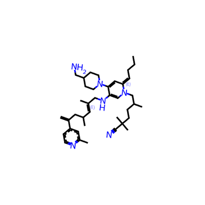 C=C(CC(C)/C=C(\C)CNC1=CN(CC(C)CCC(C)(C)C#N)/C(=C/CCC)C=C1N1CCC(CN)CC1)c1ccnc(C)c1